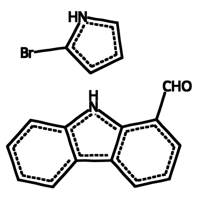 Brc1ccc[nH]1.O=Cc1cccc2c1[nH]c1ccccc12